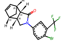 O=C1[C@@H]2[C@H](CN1c1ccc(Br)c(C(F)(F)F)c1)[C@@H]1C=C[C@H]2C1